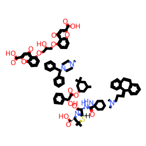 CC1(C)S[C@@H]2[C@H](NC(=O)C3(N)CCCCC3)C(=O)N2[C@H]1C(=O)O.CC1CC(OC(=O)C(O)c2ccccc2)CC(C)(C)C1.CN(C)CCC=C1c2ccccc2C=Cc2ccccc21.CN1CCN(C(c2ccccc2)c2ccccc2)CC1.O=C(O)c1cc(=O)c2c(OCC(O)COc3cccc4oc(C(=O)O)cc(=O)c34)cccc2o1